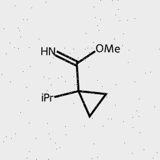 COC(=N)C1(C(C)C)CC1